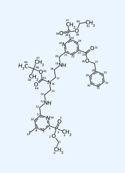 CCOP(C)(=O)c1cc(I)cc(CNCCN(CCNCc2cc(C(=O)OCc3ccccc3)cc(P(C)(=O)OCC)n2)C(=O)OC(C)(C)C)n1